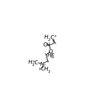 C=CC(=O)OCCN(C)C.F